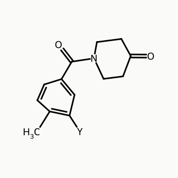 Cc1ccc(C(=O)N2CCC(=O)CC2)c[c]1[Y]